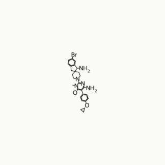 Cn1c(N2CCC3(CC2)Cc2ccc(Br)cc2[C@H]3N)nc(N)c(-c2ccc(OC3CC3)cc2)c1=O